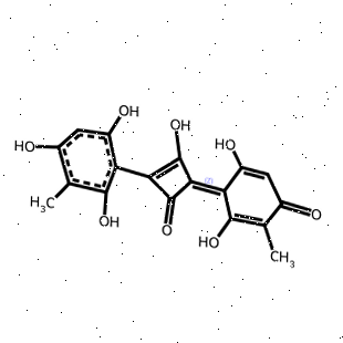 CC1=C(O)/C(=C2\C(=O)C(c3c(O)cc(O)c(C)c3O)=C2O)C(O)=CC1=O